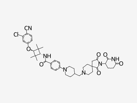 CC1(C)[C@H](NC(=O)c2ccc(N3CCC(CN4CCC5(CC4)CC(=O)N(C4CCC(=O)NC4=O)C5=O)CC3)cc2)C(C)(C)[C@H]1Oc1ccc(C#N)c(Cl)c1